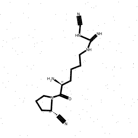 N#CNC(=N)NCCCC[C@H](N)C(=O)N1CCC[C@H]1C#N